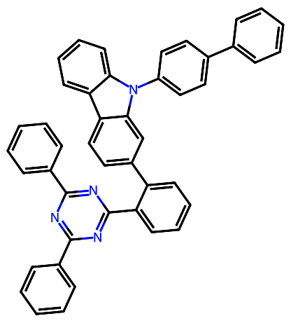 c1ccc(-c2ccc(-n3c4ccccc4c4ccc(-c5ccccc5-c5nc(-c6ccccc6)nc(-c6ccccc6)n5)cc43)cc2)cc1